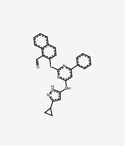 O=Cc1c(Sc2nc(Nc3cc(C4CC4)n[nH]3)cc(-c3ccccc3)n2)ccc2ccccc12